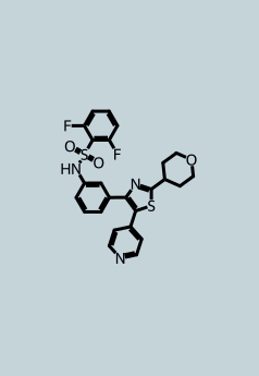 O=S(=O)(Nc1cccc(-c2nc(C3CCOCC3)sc2-c2ccncc2)c1)c1c(F)cccc1F